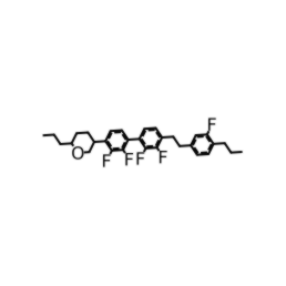 CCCc1ccc(CCc2ccc(-c3ccc(C4CCC(CCC)OC4)c(F)c3F)c(F)c2F)cc1F